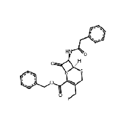 O=C(Cc1ccccc1)N[C@@H]1C(=O)N2C(C(=O)OCc3ccccc3)=C(CI)CS[C@H]12